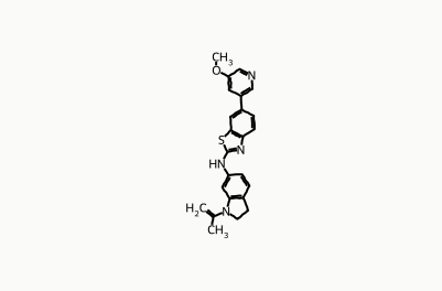 C=C(C)N1CCc2ccc(Nc3nc4ccc(-c5cncc(OC)c5)cc4s3)cc21